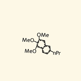 [CH2]CCc1ccc2c(OC)c(OC)c(OC)cc2c1